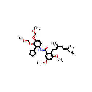 COCOc1ccc(NC(=O)c2cc(OC)cc(OC)c2C/C=C(\C)CC=C(C)C)c(C2CCCC2)c1OCOC